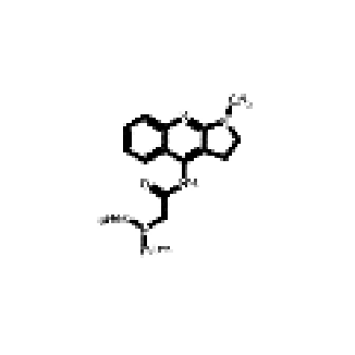 CCCCCCN(CCCCCC)CC(=O)Nc1c2c(nc3ccccc13)N(C)CC2